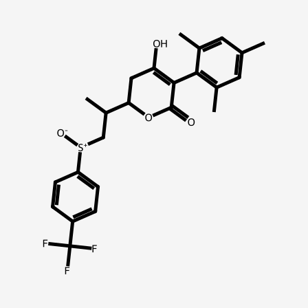 Cc1cc(C)c(C2=C(O)CC(C(C)C[S+]([O-])c3ccc(C(F)(F)F)cc3)OC2=O)c(C)c1